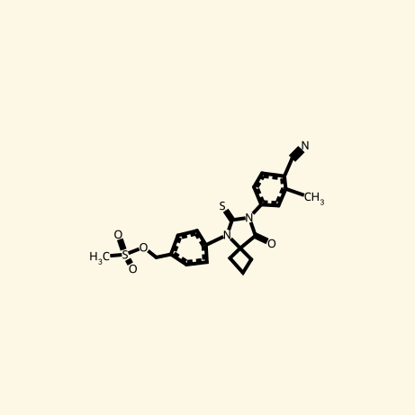 Cc1cc(N2C(=O)C3(CCC3)N(c3ccc(COS(C)(=O)=O)cc3)C2=S)ccc1C#N